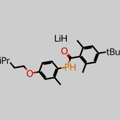 Cc1cc(OCCC(C)C)ccc1PC(=O)c1c(C)cc(C(C)(C)C)cc1C.[LiH]